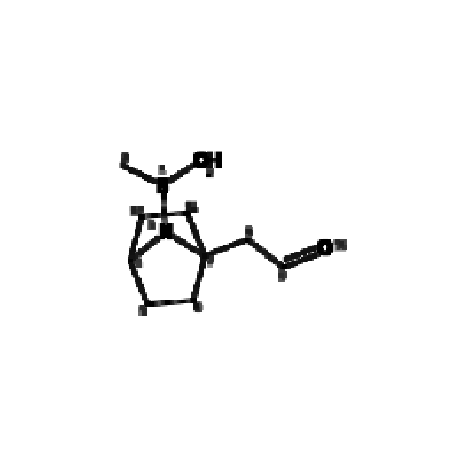 CB(O)N1C2CCC1(CC=O)CC2